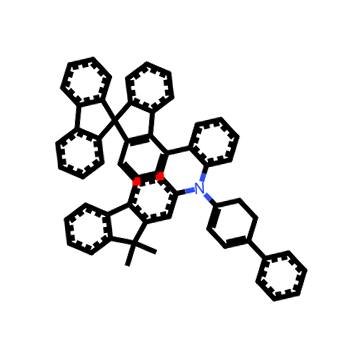 CC1(C)c2ccccc2-c2ccc(N(C3=CC=C(c4ccccc4)CC3)c3ccccc3C3=C=C=CC4=C3c3ccccc3C43c4ccccc4-c4ccccc43)cc21